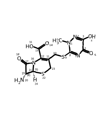 Cn1nc(O)c(=O)nc1SCC1=C(C(=O)O)N2C(=O)[C@@H](N)[C@@H]2SC1